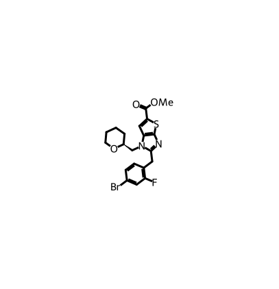 COC(=O)c1cc2c(nc(Cc3ccc(Br)cc3F)n2C[C@@H]2CCCCO2)s1